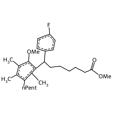 CCCCCc1c(C)c(C)c(OC)c(C(CCCCCC(=O)OC)c2ccc(F)cc2)c1C